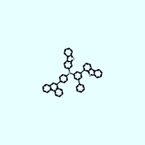 c1ccc(-c2cc(-c3cccc4c3sc3ccccc34)cc(N(c3ccc(-c4cc5ccccc5c5ccccc45)cc3)c3ccc4c(c3)sc3ccccc34)c2)cc1